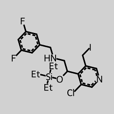 CC[Si](CC)(CC)OC(CNCc1cc(F)cc(F)c1)c1c(Cl)cncc1CI